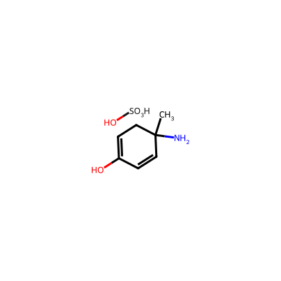 CC1(N)C=CC(O)=CC1.O=S(=O)(O)O